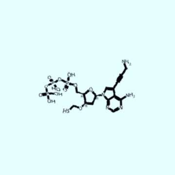 NCC#Cc1cn([C@H]2C[C@@H](OCS)[C@@H](COP(=O)(O)OP(=O)(O)OP(=O)(O)O)O2)c2ncnc(N)c12